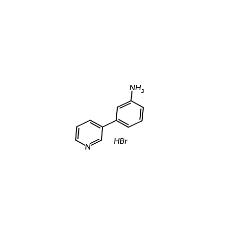 Br.Nc1cccc(-c2cccnc2)c1